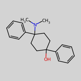 CN(C)C1(c2ccccc2)CCC(O)(c2ccccc2)CC1